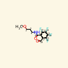 COCCCNC(=O)c1c(F)c(F)c(F)c(F)c1C=O